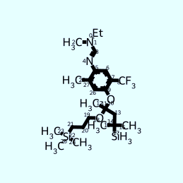 CCN(C)C=Nc1cc(C(F)(F)F)c(OC(C)(CC(C)(C)[SiH3])OCCC[Si](C)(C)C)cc1C